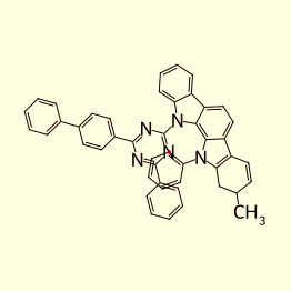 CC1C=Cc2c(n(-c3ccccc3)c3c2ccc2c4ccccc4n(-c4nc(-c5ccccc5)nc(-c5ccc(-c6ccccc6)cc5)n4)c23)C1